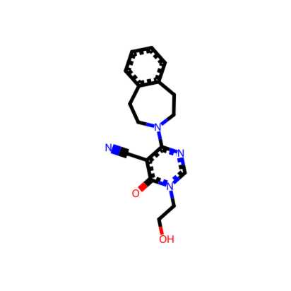 N#Cc1c(N2CCc3ccccc3CC2)ncn(CCO)c1=O